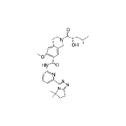 COc1cc2c(cc1C(=O)Nc1cccc(-c3nnc4n3C(C)(C)CC4)n1)CN(C(=O)C(O)CC(C)C)CC2